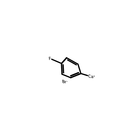 Fc1cc[c]([Ca+])cc1.[Br-]